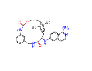 CCc1cc2cc(CC)c1CCOC(=O)Nc1cccc(c1)CNC(=O)C2Nc1ccc2c(N)nccc2c1